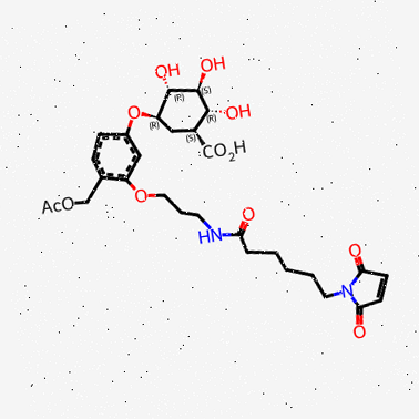 CC(=O)OCc1ccc(O[C@@H]2C[C@H](C(=O)O)[C@@H](O)[C@H](O)[C@H]2O)cc1OCCCNC(=O)CCCCCN1C(=O)C=CC1=O